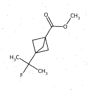 COC(=O)C12CC(C(C)(C)F)(C1)C2